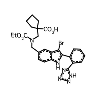 CCOC(=O)N(Cc1ccc2[nH]c(-c3ccccc3-c3nnn[nH]3)c(Br)c2c1)CC1(C(=O)O)CCCC1